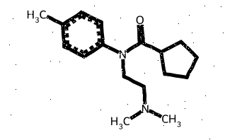 Cc1ccc(N(CCN(C)C)C(=O)C2CCCC2)cc1